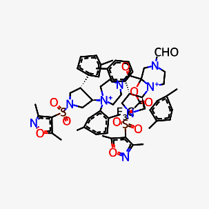 Cc1cccc([C@H]2CN(S(=O)(=O)c3c(C)noc3C)C[C@@H]2[N+]2(c3cc(C)ccc3C)CCN(C(=O)C3(OC(=O)C(F)(F)F)CN(C=O)CC[N@+]3(c3cc(C)ccc3C)[C@H]3CN(S(=O)(=O)c4c(C)noc4C)C[C@@H]3c3cccc(C)c3)CC2)c1